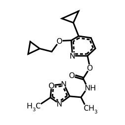 Cc1nc(C(C)NC(=O)Oc2ccc(C3CC3)c(OCC3CC3)n2)no1